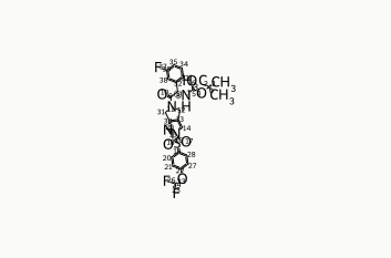 CC(C)(C)OC(=O)N[C@H](C(=O)N1Cc2cn(S(=O)(=O)c3ccc(OC(F)F)cc3)nc2C1)c1cccc(F)c1